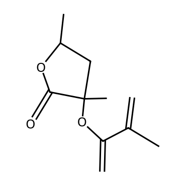 C=C(C)C(=C)OC1(C)CC(C)OC1=O